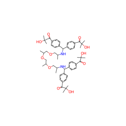 CC(COCC(C)OCC(C)OCC(C)NC(c1ccc(C(=O)C(C)(C)O)cc1)c1ccc(C(=O)C(C)(C)O)cc1)NC(c1ccc(C(=O)C(C)(C)O)cc1)c1ccc(C(=O)C(C)(C)O)cc1